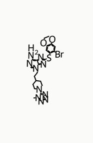 Cn1nnnc1N1CCC(CCn2cnc(N)c3nc(Sc4cc5c(cc4Br)OCCO5)nc2-3)CC1